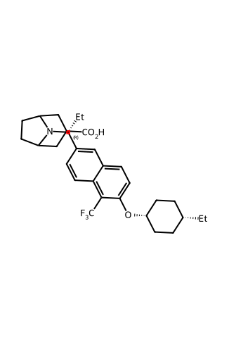 CC[C@H](c1ccc2c(C(F)(F)F)c(O[C@H]3CC[C@@H](CC)CC3)ccc2c1)N1C2CCC1CC(C(=O)O)C2